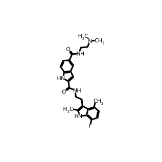 Cc1[nH]c2c(F)ccc(C)c2c1CCNC(=O)c1cc2cc(C(=O)NCCN(C)C)ccc2[nH]1